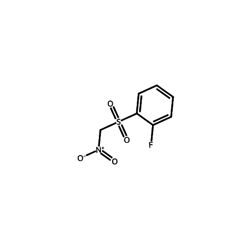 O=[N+]([O-])CS(=O)(=O)c1ccccc1F